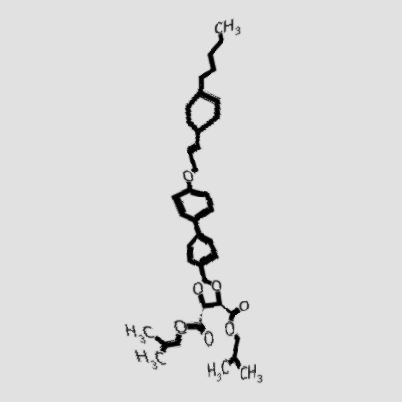 CCCCCC1CCC(/C=C/COc2ccc(-c3ccc(C4O[C@@H](C(=O)OCC(C)C)[C@H](C(=O)OCC(C)C)O4)cc3)cc2)CC1